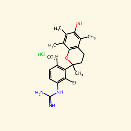 CCc1c(NC(=N)N)ccc(C(=O)O)c1C1(C)CCc2c(C)c(O)c(C)c(C)c2O1.Cl